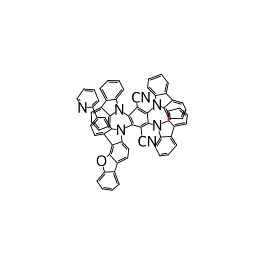 N#Cc1c(-n2c3ccccc3c3ccccc32)c(-n2c3ccccc3c3ccccc32)c(C#N)c(-n2c3cc(-c4ccccn4)ccc3c3c4oc5ccccc5c4ccc32)c1-n1c2ccccc2c2ccccc21